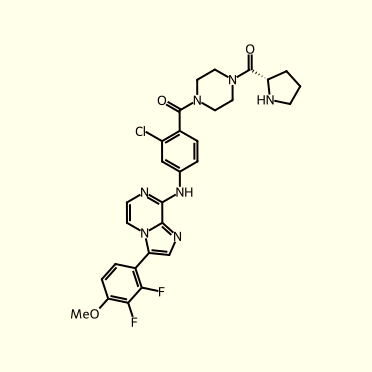 COc1ccc(-c2cnc3c(Nc4ccc(C(=O)N5CCN(C(=O)[C@@H]6CCCN6)CC5)c(Cl)c4)nccn23)c(F)c1F